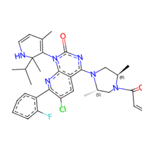 C=CC(=O)N1C[C@H](C)N(c2nc(=O)n(C3=C(C)C=CNC3(C)C(C)C)c3nc(-c4ccccc4F)c(Cl)cc23)C[C@H]1C